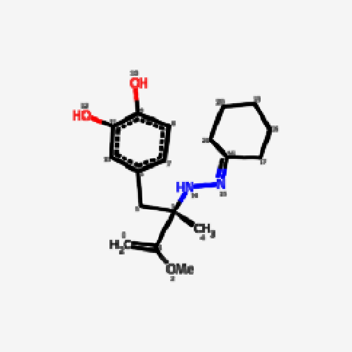 C=C(OC)[C@](C)(Cc1ccc(O)c(O)c1)NN=C1CCCCC1